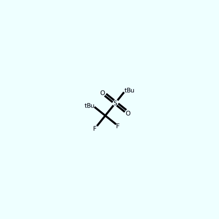 CC(C)(C)C(F)(F)S(=O)(=O)C(C)(C)C